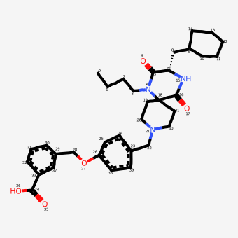 CCCCN1C(=O)[C@H](CC2CCCCC2)NC(=O)C12CCN(Cc1ccc(OCc3cccc(C(=O)O)c3)cc1)CC2